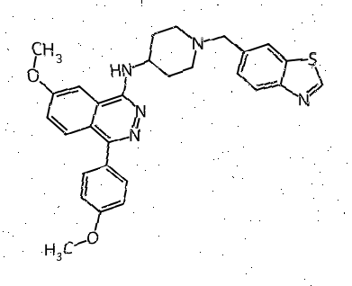 COc1ccc(-c2nnc(NC3CCN(Cc4ccc5ncsc5c4)CC3)c3cc(OC)ccc23)cc1